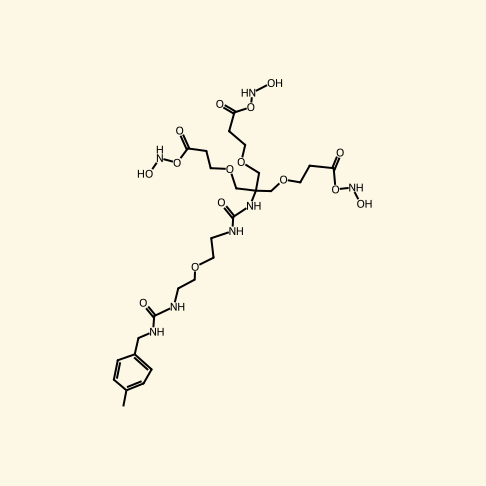 Cc1ccc(CNC(=O)NCCOCCNC(=O)NC(COCCC(=O)ONO)(COCCC(=O)ONO)COCCC(=O)ONO)cc1